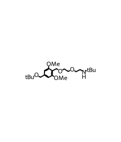 COc1cc(COC(C)(C)C)cc(OC)c1COCCOCCNC(C)(C)C